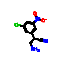 N#CC(CN)c1cc(Cl)cc([N+](=O)[O-])c1